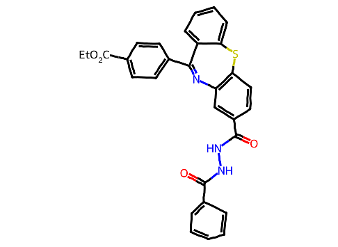 CCOC(=O)c1ccc(C2=Nc3cc(C(=O)NNC(=O)c4ccccc4)ccc3Sc3ccccc32)cc1